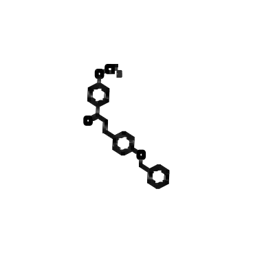 O=C(C=Cc1ccc(OCc2ccccc2)cc1)c1ccc(OC(F)(F)F)cc1